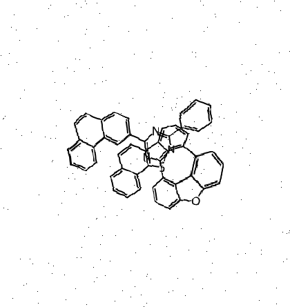 c1ccc(-c2nc(-c3ccc4ccc5ccccc5c4c3)nc(-c3cccc4oc5cccc(-c6cccc7c6sc6c8ccccc8ccc76)c5c34)n2)cc1